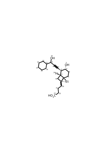 CC[C@]12CC[C@@H](O)[C@H](C#CC(O)C3CCCCC3)[C@H]1C/C2=C\CCC(=O)O